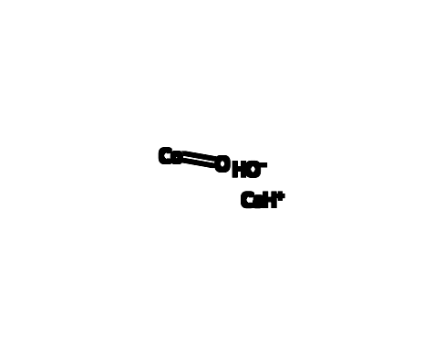 [CaH+].[OH-].[O]=[Co]